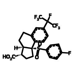 O=C(O)[C@H]1CC[C@]2(S(=O)(=O)c3ccc(F)cc3)c3ccc(C(F)(C(F)(F)F)C(F)(F)F)cc3CC[C@H]12